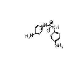 Nc1ccc(NS(=O)(=O)Nc2ccc(N)cc2)cc1